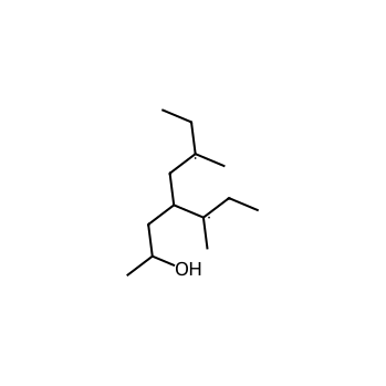 CC[C](C)CC(CC(C)O)[C](C)CC